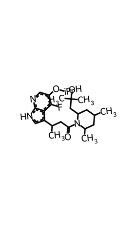 CC1CC(C)N(C(=O)CC(C)c2c[nH]c3ncc(OC(C)C)c(F)c23)C(CC(C)(C)O)C1